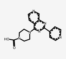 O=C(O)N1CCN(c2nc(-c3ccncc3)nc3cnccc23)CC1